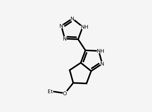 CCOC1Cc2n[nH]c(-c3nnn[nH]3)c2C1